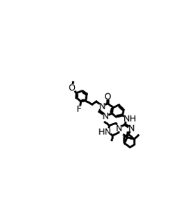 COc1ccc(CCn2cnc3cc(N/C(=N/C4CC5CCC4(C)C5(C)C)N4CC(C)NC(C)C4)ccc3c2=O)c(F)c1